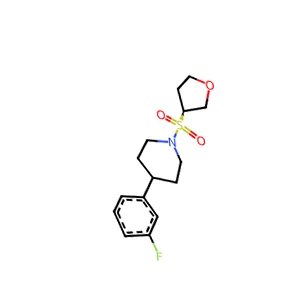 O=S(=O)([C@H]1CCOC1)N1CCC(c2cccc(F)c2)CC1